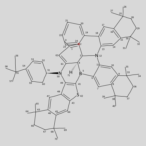 CC1=CC2[C@H]3B(c4cc5c(cc4N2c2cc4c(cc2-c2ccccc2)C(C)(C)CCC4(C)C)C(C)(C)CCC5(C)C)c2sc4cc5c(cc4c2N([C@@H]2C=CC(C(C)(C)C)=CC2)C3=C1)C(C)(C)CCC5(C)C